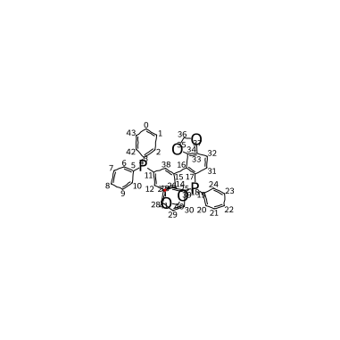 c1ccc(P(c2ccccc2)c2cc3c(c(-c4c(P(c5ccccc5)c5ccccc5)ccc5c4OCO5)c2)OCO3)cc1